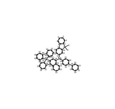 CC1(C)c2ccccc2-c2ccc(N(c3ccc(-c4ccccc4)cc3)c3cc4c(c5ccccc35)-c3ccccc3C43c4ccccc4-c4ccccc43)cc21